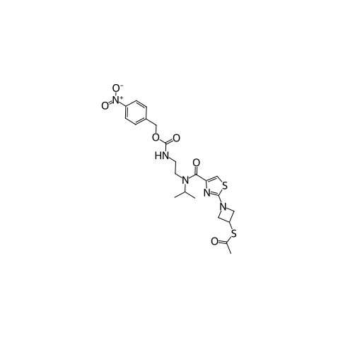 CC(=O)SC1CN(c2nc(C(=O)N(CCNC(=O)OCc3ccc([N+](=O)[O-])cc3)C(C)C)cs2)C1